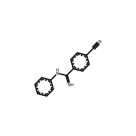 N#Cc1ccc(C(=N)Nc2ccccc2)cc1